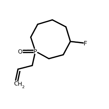 C=CCP1(=O)CCCCC(F)CC1